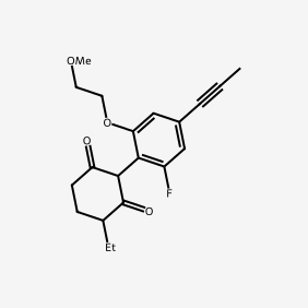 CC#Cc1cc(F)c(C2C(=O)CCC(CC)C2=O)c(OCCOC)c1